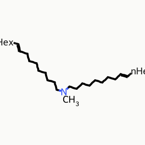 CCCCCCC=CCCCCCCCCN(C)CCCCCCCCC=CCCCCCC